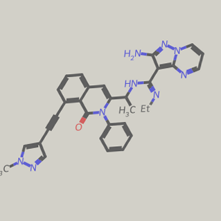 CCN=C(NC(C)c1cc2cccc(C#Cc3cnn(C)c3)c2c(=O)n1-c1ccccc1)c1c(N)nn2cccnc12